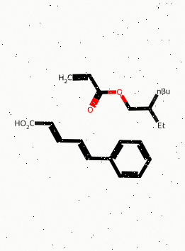 C=CC(=O)OCC(CC)CCCC.O=C(O)C=CC=Cc1ccccc1